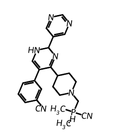 C[PH](C)(C#N)CN1CCC(C2=NC(c3cncnc3)NC=C2c2cccc(C#N)c2)CC1